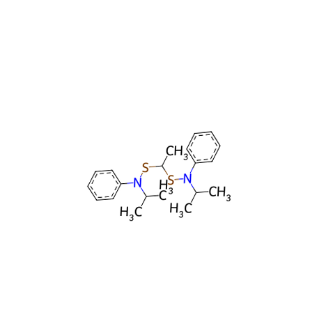 CC(SN(c1ccccc1)C(C)C)SN(c1ccccc1)C(C)C